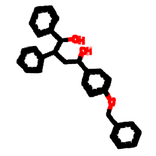 OC(CC(c1ccccc1)C(O)c1ccccc1)c1ccc(OCc2ccccc2)cc1